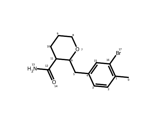 Cc1ccc(CC2OCCCC2C(N)=O)cc1Br